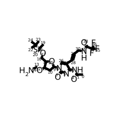 CC(=O)Nc1nc(=O)n(C2CC(OCN)C(CO[Si](C)(C)C(C)(C)C)O2)cc1C#CCNC(=O)C(F)(F)F